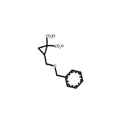 CCOC(=O)C1(C(=O)O)CC1COCc1ccccc1